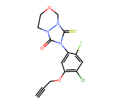 C#CCOc1cc(-n2c(=O)n3n(c2=S)COCC3)c(F)cc1Cl